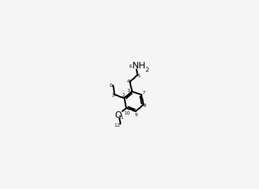 CCc1c(CCN)cccc1OC